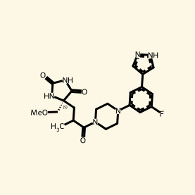 COC[C@]1(CC(C)C(=O)N2CCN(c3cc(F)cc(-c4cn[nH]c4)c3)CC2)NC(=O)NC1=O